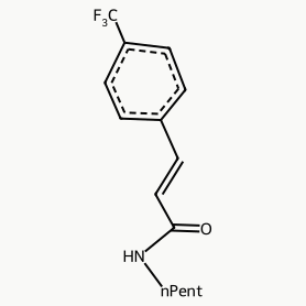 CCCCCNC(=O)C=Cc1ccc(C(F)(F)F)cc1